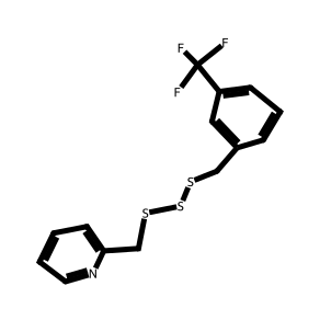 FC(F)(F)c1cccc(CSSSCc2ccccn2)c1